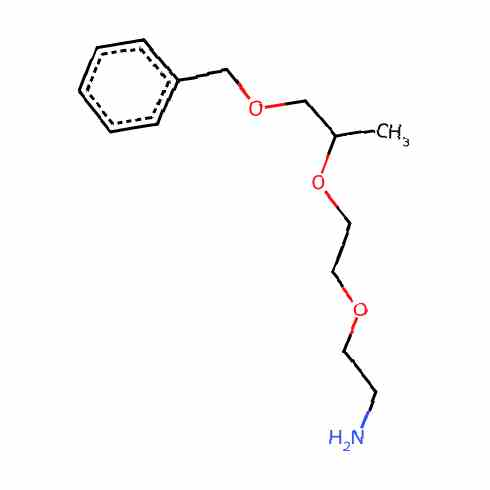 CC(COCc1ccccc1)OCCOCCN